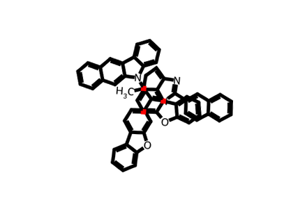 CC1C/C=C(c2c(-n3c4ccccc4c4cc5ccccc5cc43)ccc3oc4ccccc4c23)/N=C(c2ccc3ccccc3c2)\N=C/1c1ccc2c(c1)oc1ccccc12